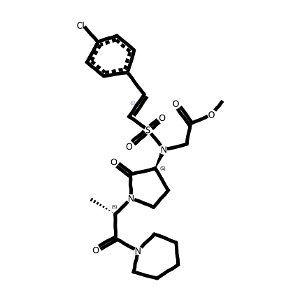 COC(=O)CN([C@H]1CCN([C@@H](C)C(=O)N2CCCCC2)C1=O)S(=O)(=O)/C=C/c1ccc(Cl)cc1